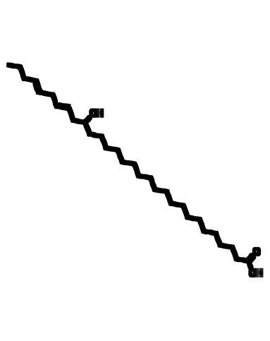 CCCC=CCC=CCC(O)CCCCCCCCCCCCCCCCCCCC(=O)O